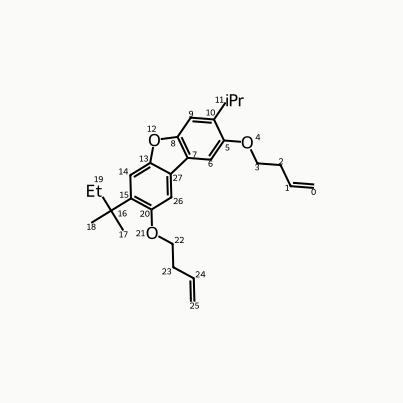 C=CCCOc1cc2c(cc1C(C)C)oc1cc(C(C)(C)CC)c(OCCC=C)cc12